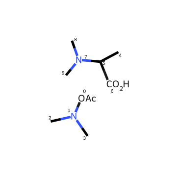 CC(=O)ON(C)C.CC(C(=O)O)N(C)C